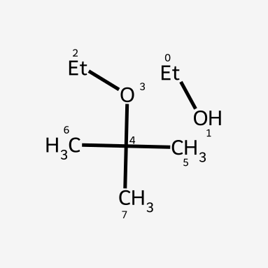 CCO.CCOC(C)(C)C